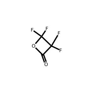 O=C1OC(F)(F)C1(F)F